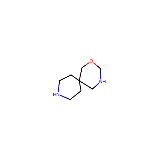 C1CC2(CCN1)CNCOC2